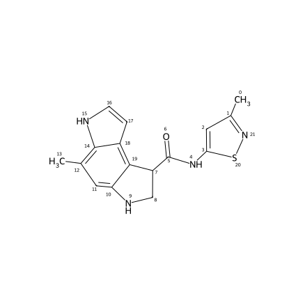 Cc1cc(NC(=O)C2CNc3cc(C)c4[nH]ccc4c32)sn1